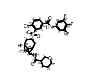 C[C@H]1CC2C[C@@H](S(=O)(=O)c3cc(C(=O)Nc4cc(F)c(F)c(F)c4)ccc3Cl)C[C@H]1[C@@]2(O)CNC(=O)C1CCCOC1